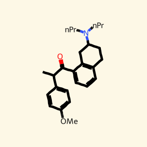 CCCN(CCC)C1CCc2cccc(C(=O)C(C)c3ccc(OC)cc3)c2C1